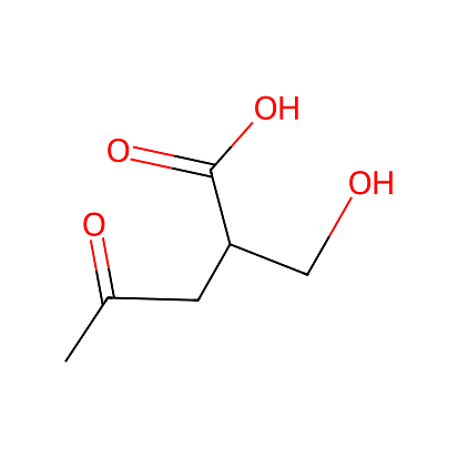 CC(=O)CC(CO)C(=O)O